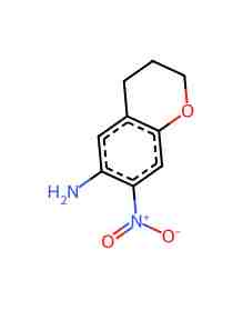 Nc1cc2c(cc1[N+](=O)[O-])OCCC2